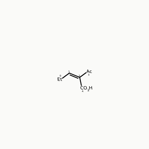 CCC=C(C(C)=O)C(=O)O